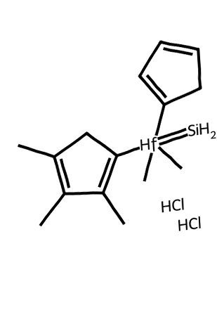 CC1=C(C)C(C)=[C]([Hf]([CH3])([CH3])(=[SiH2])[C]2=CC=CC2)C1.Cl.Cl